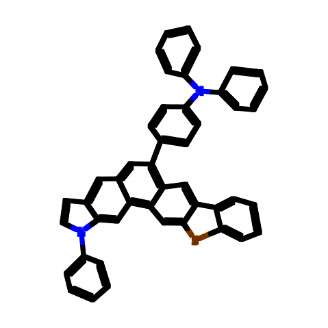 c1ccc(N(c2ccccc2)c2ccc(-c3cc4cc5ccn(-c6ccccc6)c5cc4c4cc5sc6ccccc6c5cc34)cc2)cc1